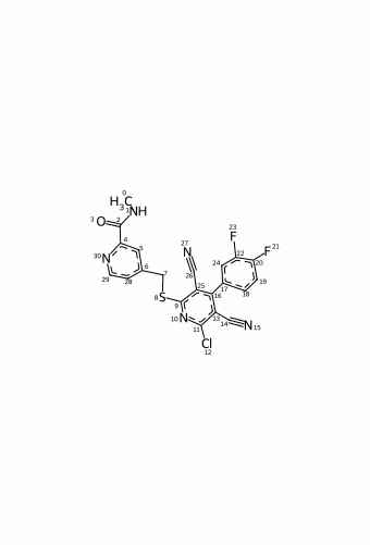 CNC(=O)c1cc(CSc2nc(Cl)c(C#N)c(-c3ccc(F)c(F)c3)c2C#N)ccn1